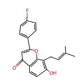 CC(C)=CCc1c(O)ccc2c(=O)cc(-c3ccc(F)cc3)oc12